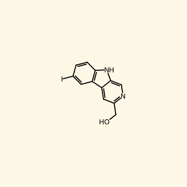 OCc1cc2c(cn1)[nH]c1ccc(I)cc12